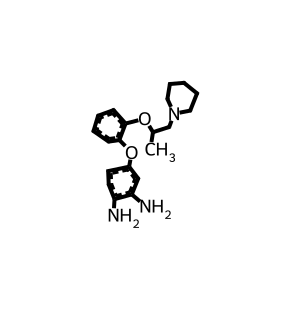 CC(CN1CCCCC1)Oc1ccccc1Oc1ccc(N)c(N)c1